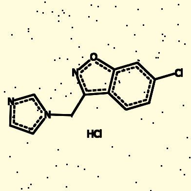 Cl.Clc1ccc2c(Cn3ccnc3)noc2c1